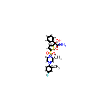 C[C@@H]1CN(c2ccc(F)cc2C(F)(F)F)CCN1S(=O)(=O)c1ccc(C(O)(C(N)=O)c2ccccc2)s1